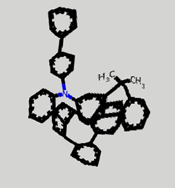 CC1(C)c2ccccc2-c2ccc(N(c3ccc(-c4ccccc4)cc3)c3ccccc3-c3c4cccc3-c3ccccc3-c3ccccc3-4)cc21